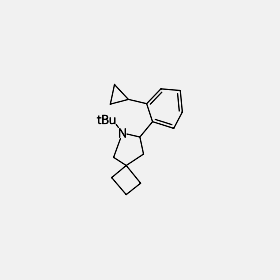 CC(C)(C)N1CC2(CCC2)CC1c1ccccc1C1CC1